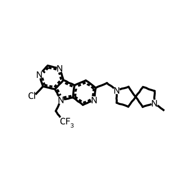 CN1CCC2(CCN(Cc3cc4c5ncnc(Cl)c5n(CC(F)(F)F)c4cn3)C2)C1